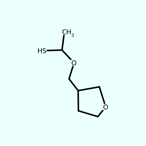 CC(S)OCC1CCOC1